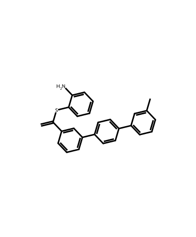 C=C(Sc1ccccc1N)c1cccc(-c2ccc(-c3cccc(C)c3)cc2)c1